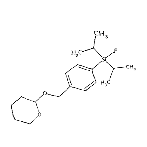 CC(C)[Si](F)(c1ccc(COC2CCCCO2)cc1)C(C)C